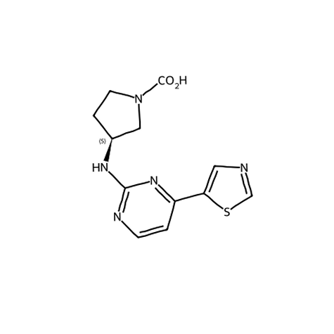 O=C(O)N1CC[C@H](Nc2nccc(-c3cncs3)n2)C1